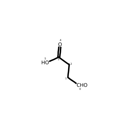 O=CC[CH]C(=O)O